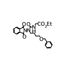 CCOC(=O)CNC(=O)N(CCCCOCc1ccccc1)N1C(=O)c2ccccc2C1=O